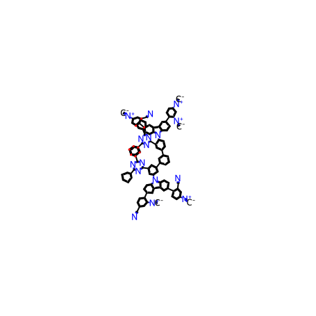 [C-]#[N+]c1ccc(-c2ccc3c(c2)c2cc(-c4ccc(C#N)cc4[N+]#[C-])ccc2n3-c2cc(-c3cccc(-c4ccc(-n5c6ccc(-c7ccc([N+]#[C-])cc7C#N)cc6c6cc(-c7ccc([N+]#[C-])cc7[N+]#[C-])ccc65)c(-c5nc(-c6ccccc6)nc(-c6ccccc6)n5)c4)c3)cc(-c3nc(-c4ccccc4)nc(-c4ccccc4)n3)c2)c(C#N)c1